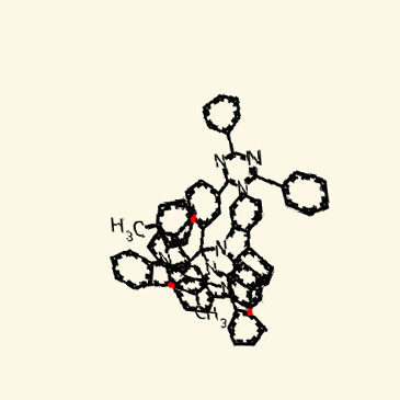 Cc1ccccc1-n1c2ccccc2c2ccc3c4ccccc4n(C4(n5c6ccccc6c6ccc7c8ccccc8n(-c8ccccc8C)c7c65)c5ccccc5-c5ccc(-c6nc(-c7ccccc7)nc(-c7ccccc7)n6)cc54)c3c21